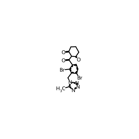 Cc1nnnn1Cc1c(Br)ccc(C(=O)C2C(=O)CCCC2=O)c1Br